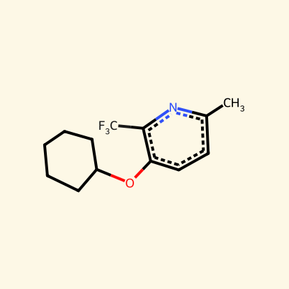 Cc1ccc(OC2CCCCC2)c(C(F)(F)F)n1